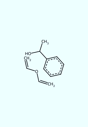 C=COC=C.CC(O)c1ccccc1